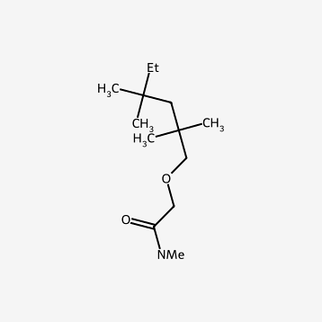 CCC(C)(C)CC(C)(C)COCC(=O)NC